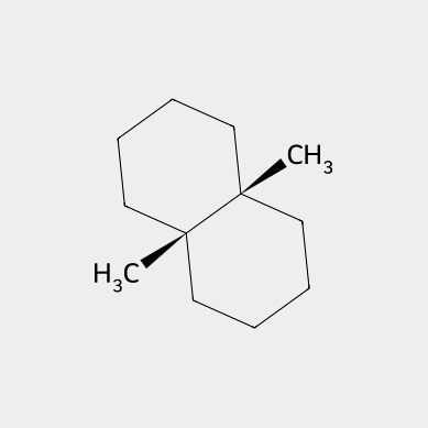 C[C@]12CCCC[C@@]1(C)CCCC2